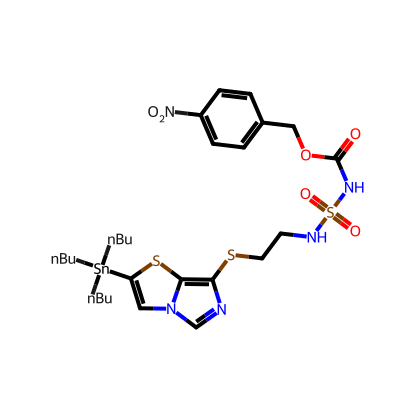 CCC[CH2][Sn]([CH2]CCC)([CH2]CCC)[c]1cn2cnc(SCCNS(=O)(=O)NC(=O)OCc3ccc([N+](=O)[O-])cc3)c2s1